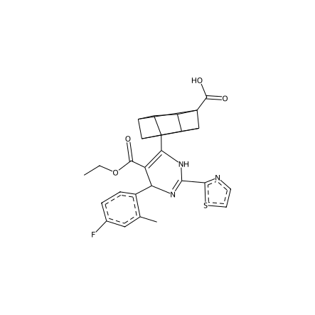 CCOC(=O)C1=C(C23C4C5C2C2C3C4C52C(=O)O)NC(c2nccs2)=NC1c1ccc(F)cc1C